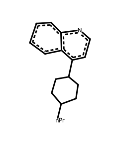 CCCC1CCC(c2ccnc3ccccc23)CC1